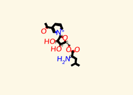 CC(=O)c1ccc[n+]([C@@H]2O[C@H](COC(=O)[C@@H](N)CC(C)C)[C@@H](O)[C@H]2O)c1